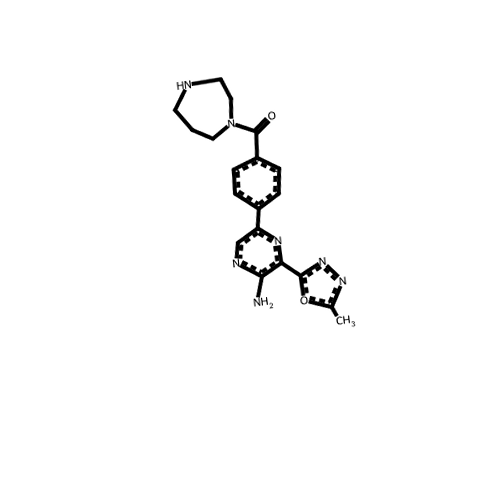 Cc1nnc(-c2nc(-c3ccc(C(=O)N4CCCNCC4)cc3)cnc2N)o1